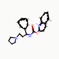 O=C(NC(CCN1CCCC1)c1ccccc1)Oc1ccc2ccccc2n1